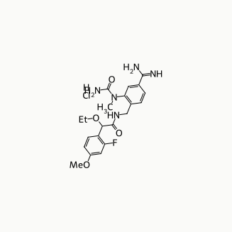 CCOC(C(=O)NCc1ccc(C(=N)N)cc1N(C)C(N)=O)c1ccc(OC)cc1F.Cl